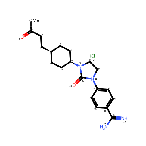 COC(=O)CC[C@H]1CC[C@@H](N2CCN(c3ccc(C(=N)N)cc3)C2=O)CC1.Cl